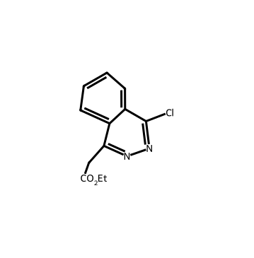 CCOC(=O)Cc1nnc(Cl)c2ccccc12